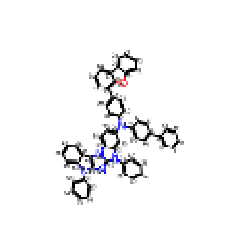 c1ccc(-c2ccc(N(c3ccc(-c4cccc5c4oc4ccccc45)cc3)c3ccc4c(c3)n(-c3ccccc3)c3nc5c(c6ccccc6n5-c5ccccc5)n43)cc2)cc1